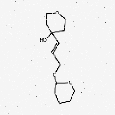 OC1(/C=C/COC2CCCCO2)CCOCC1